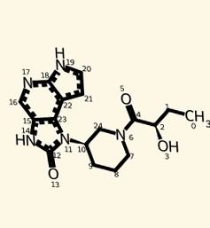 CC[C@@H](O)C(=O)N1CCC[C@@H](n2c(=O)[nH]c3cnc4[nH]ccc4c32)C1